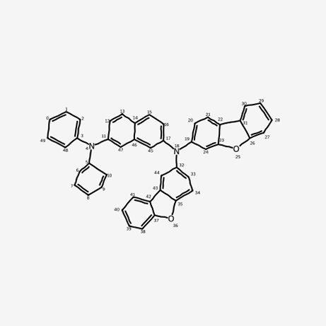 c1ccc(N(c2ccccc2)c2ccc3ccc(N(c4ccc5c(c4)oc4ccccc45)c4ccc5oc6ccccc6c5c4)cc3c2)cc1